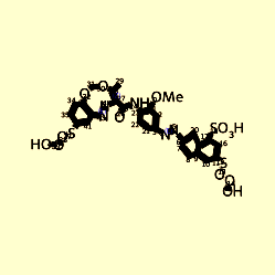 COc1cc(/N=N/c2ccc3cc(SOOO)cc(S(=O)(=O)O)c3c2)ccc1NC(=O)C1=C(\C)OCOc2ccc(SOOO)cc2\N=N\1